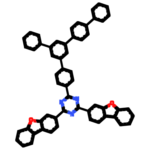 c1ccc(-c2ccc(-c3cc(-c4ccccc4)cc(-c4ccc(-c5nc(-c6ccc7c(c6)oc6ccccc67)nc(-c6ccc7c(c6)oc6ccccc67)n5)cc4)c3)cc2)cc1